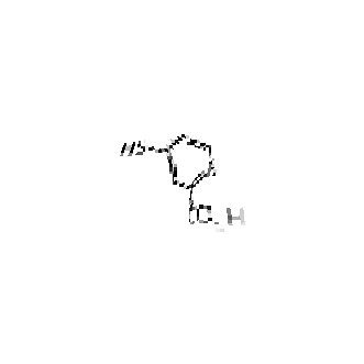 O=C(O)c1cc(S)ccn1